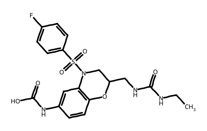 CCNC(=O)NCC1CN(S(=O)(=O)c2ccc(F)cc2)c2cc(NC(=O)O)ccc2O1